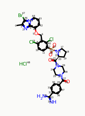 Cc1nc2c(OCc3c(Cl)ccc(S(=O)(=O)N4CCC[C@H]4C(=O)N4CCN(C(=O)c5ccc(C(=N)N)cc5)CC4)c3Cl)cccn2c1Br.Cl